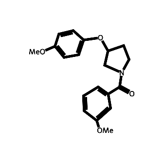 COc1ccc(OC2CCN(C(=O)c3cccc(OC)c3)C2)cc1